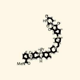 CNC(=O)c1ccccc1Nc1cc(Nc2cc(C)c(C3CCN(CC4CCN(c5ccc6c(c5)C(=O)N(N5CCC(=O)NC5=O)C6=O)CC4)CC3)cc2OC(C)C)ncc1C(F)(F)F